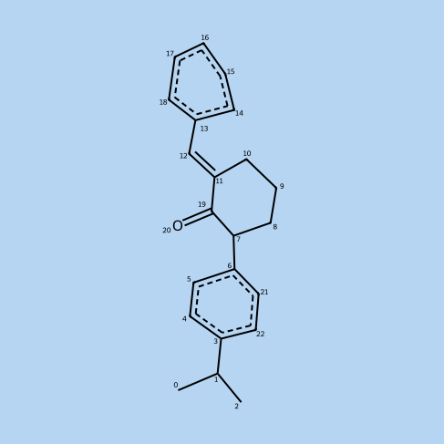 CC(C)c1ccc(C2CCCC(=Cc3ccccc3)C2=O)cc1